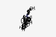 COC(=O)N(c1ccc2c(c1C(=O)O)OC[C@@H]1C[C@H]21)S(=O)(=O)c1ccc(F)cc1/C=C\CN1CC[C@@H](C(C)(C)O)C1